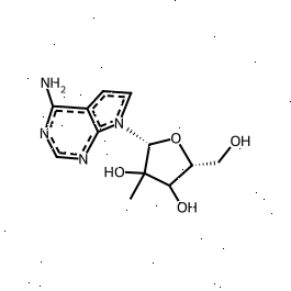 CC1(O)C(O)[C@@H](CO)O[C@H]1n1ccc2c(N)ncnc21